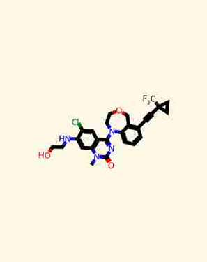 Cn1c(=O)nc(N2CCOCc3c(C#CC4(C(F)(F)F)CC4)cccc32)c2cc(Cl)c(NCCO)cc21